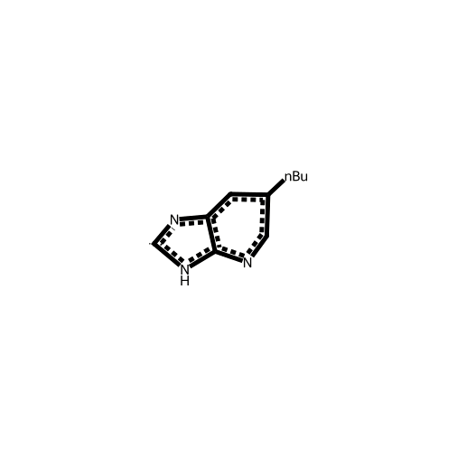 CCCCc1cnc2[nH][c]nc2c1